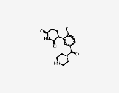 O=C1CCC(c2cc(C(=O)N3CCNCC3)ccc2F)C(=O)N1